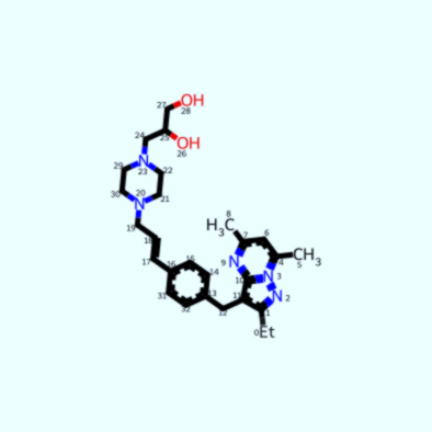 CCc1nn2c(C)cc(C)nc2c1Cc1ccc(C=CCN2CCN(CC(O)CO)CC2)cc1